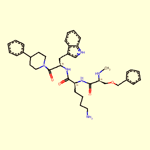 CN[C@@H](COCc1ccccc1)C(=O)N[C@@H](CCCCN)C(=O)N[C@H](Cc1c[nH]c2ccccc12)C(=O)N1CCC(c2ccccc2)CC1